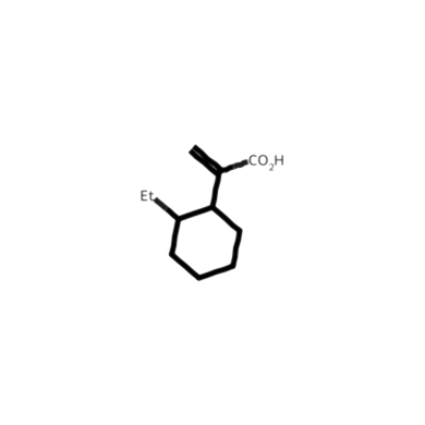 C=C(C(=O)O)C1CCCCC1CC